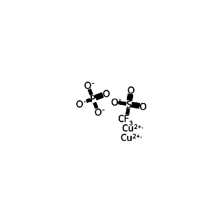 O=P([O-])([O-])[O-].O=S(=O)([O-])C(F)(F)F.[Cu+2].[Cu+2]